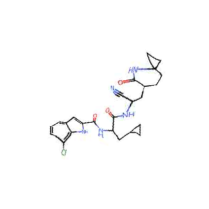 N#CC(C[C@@H]1CCC2(CC2)NC1=O)NC(=O)C(CC1CC1)NC(=O)c1cc2cccc(Cl)c2[nH]1